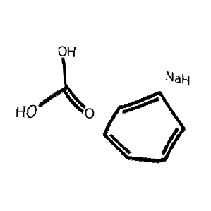 O=C(O)O.[NaH].c1ccccc1